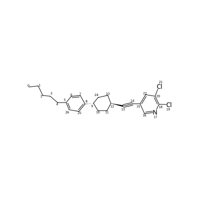 CCCCCc1ccc([C@H]2CC[C@H](C#Cc3cnc(Cl)c(Cl)c3)CC2)cc1